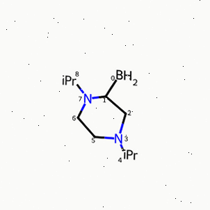 BC1CN(C(C)C)CCN1C(C)C